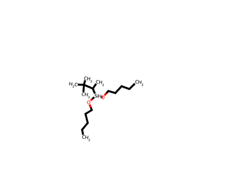 CCCCCO[SiH](OCCCCC)C(C)C(C)(C)C